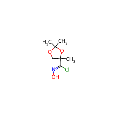 CC1(C)OCC(C)(C(Cl)=NO)O1